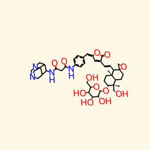 C[C@]12CC[C@@H](OC3OC(CO)C(O)C(O)C3O)[C@@](C)(CO)C1CCC1(CO1)C2/C=C/C1=CC(=C\c2ccc(NC(=O)CC(=O)NC3C4CN5CC3CN(C4)C5)cc2)/OC1=O